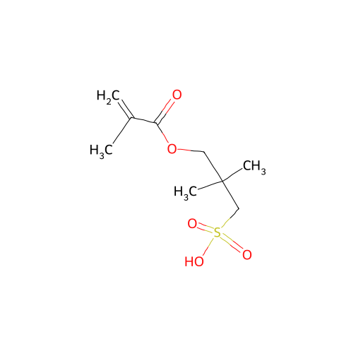 C=C(C)C(=O)OCC(C)(C)CS(=O)(=O)O